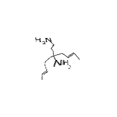 CC=CCC(N)(CC=CC)CCN